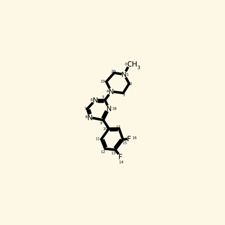 CN1CCN(c2ncnc(-c3ccc(F)c(F)c3)n2)CC1